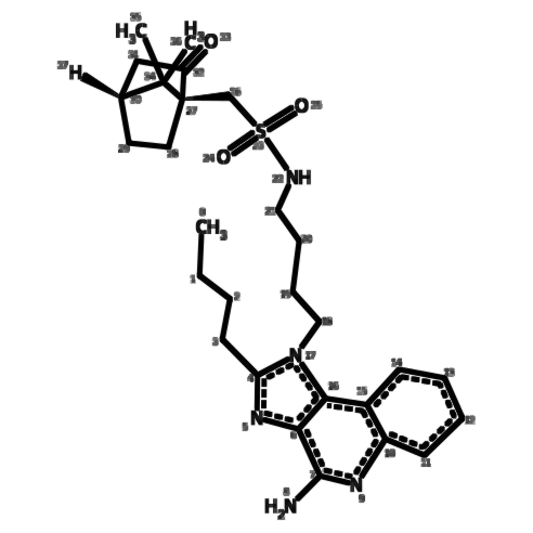 CCCCc1nc2c(N)nc3ccccc3c2n1CCCCNS(=O)(=O)C[C@]12CC[C@H](CC1=O)C2(C)C